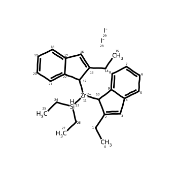 CCC1=Cc2ccccc2[CH]1[Zr+2]([CH]1C(CC)=Cc2ccccc21)[SiH](CC)CC.[I-].[I-]